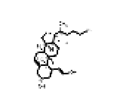 CC(C)CCC[C@@H](C)[C@H]1CC[C@H]2[C@@H]3CC=C4C[C@@H](O)CC(C=CO)[C@]4(C)[C@H]3CC[C@]12C